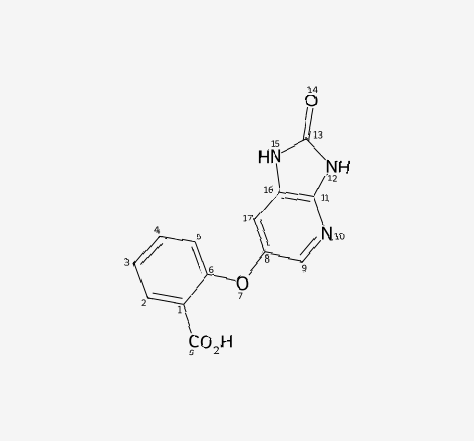 O=C(O)c1ccccc1Oc1cnc2[nH]c(=O)[nH]c2c1